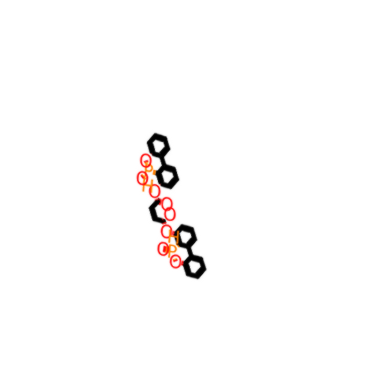 O=C(/C=C\C(=O)Oc1cccc2c1[PH](=O)Oc1ccccc1-2)Oc1cccc2c1[PH](=O)Oc1ccccc1-2